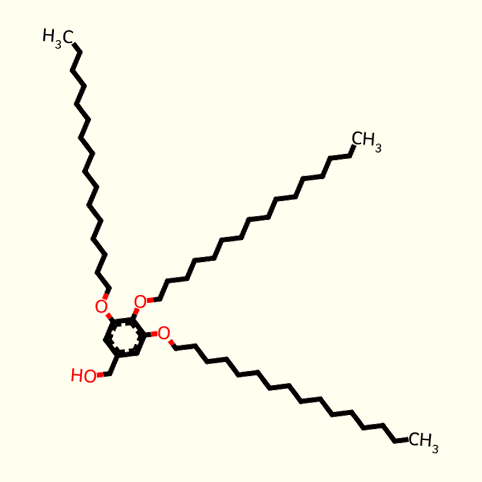 CCCCCCCCCCCCCCCCOc1cc(CO)cc(OCCCCCCCCCCCCCCCC)c1OCCCCCCCCCCCCCCCC